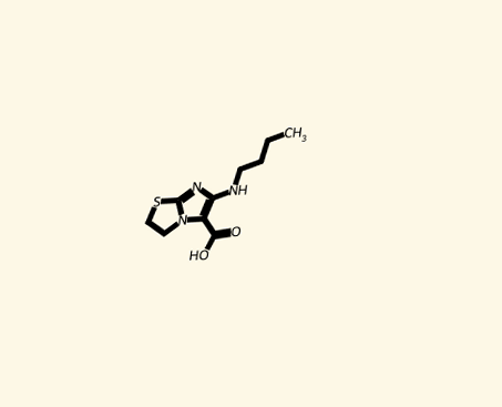 CCCCNc1nc2n(c1C(=O)O)CCS2